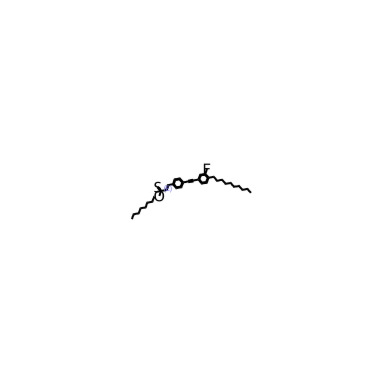 CCCCCCCCCCc1ccc(C#Cc2ccc(/C=C/C(=S)OCCCCCCCC)cc2)cc1F